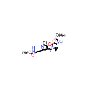 CCc1cc([C@H](C)N(C(=O)[C@H]2CNC[C@@H](COC)O2)C2CC2)cc(CCCNC(=O)OC)n1